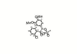 COc1ccc(C(OS(C)(=O)=O)C(=O)c2ccccc2Cl)cc1OC